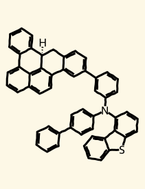 c1ccc(-c2ccc(N(c3cccc(-c4ccc5c(c4)-c4ccc6cccc7c6c4[C@H](C5)c4ccccc4-7)c3)c3cccc4sc5ccccc5c34)cc2)cc1